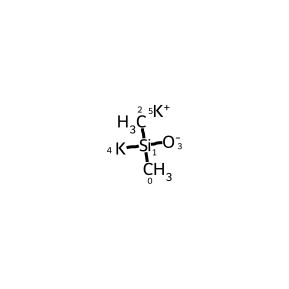 C[Si](C)([O-])[K].[K+]